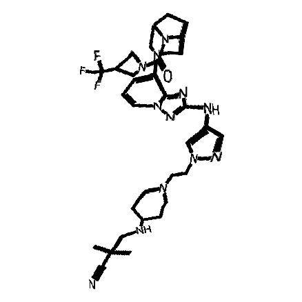 CC(C)(C#N)CNC1CCN(CCn2cc(Nc3nc4c(N5CC6CCC(C5)N6C(=O)N5CC(C(F)(F)F)C5)cccn4n3)cn2)CC1